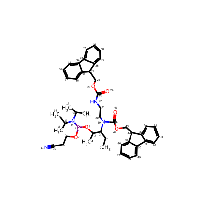 CCC(C(C)OP(OCCC#N)N(C(C)C)C(C)C)N(CCNC(=O)OCC1c2ccccc2-c2ccccc21)C(=O)OCC1c2ccccc2-c2ccccc21